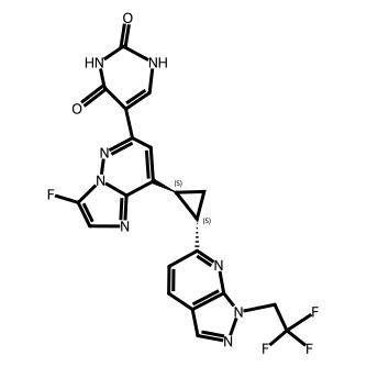 O=c1[nH]cc(-c2cc([C@H]3C[C@@H]3c3ccc4cnn(CC(F)(F)F)c4n3)c3ncc(F)n3n2)c(=O)[nH]1